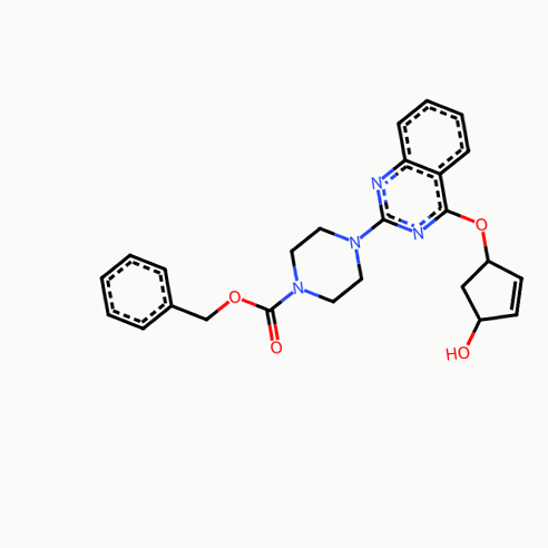 O=C(OCc1ccccc1)N1CCN(c2nc(OC3C=CC(O)C3)c3ccccc3n2)CC1